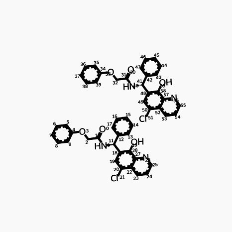 O=C(COc1ccccc1)N[C@@H](c1ccccc1)c1cc(Cl)c2cccnc2c1O.O=C(COc1ccccc1)N[C@H](c1ccccc1)c1cc(Cl)c2cccnc2c1O